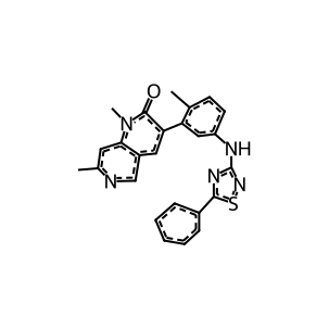 Cc1cc2c(cn1)cc(-c1cc(Nc3nsc(-c4ccccc4)n3)ccc1C)c(=O)n2C